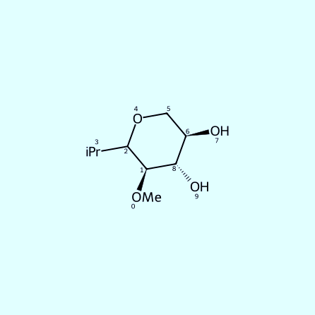 CO[C@H]1C(C(C)C)OC[C@@H](O)[C@@H]1O